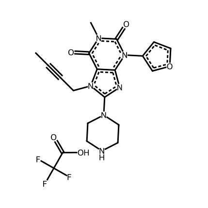 CC#CCn1c(N2CCNCC2)nc2c1c(=O)n(C)c(=O)n2-c1ccoc1.O=C(O)C(F)(F)F